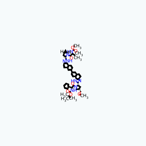 COC[C@H]1C[C@@H](c2nc3ccc4cc(-c5ccc6c(ccc7nc([C@@H]8C[C@H]9C[C@H]9N8C(=O)[C@@H](NC(=O)OC)C(C)C)[nH]c76)c5)ccc4c3[nH]2)N(C(=O)[C@H](NC(=O)OC(C)(C)C)c2ccccc2)C1